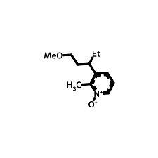 CCC(CCOC)c1ccc[n+]([O-])c1C